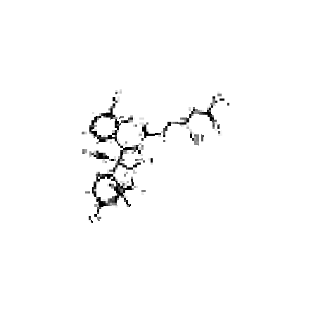 CC(C)(C)C[C@@H]1N[C@@H](C(=O)OC[C@@H](O)CC(N)=O)[C@H](c2cccc(Cl)c2F)[C@@]1(C#N)c1ccc(Cl)cc1F